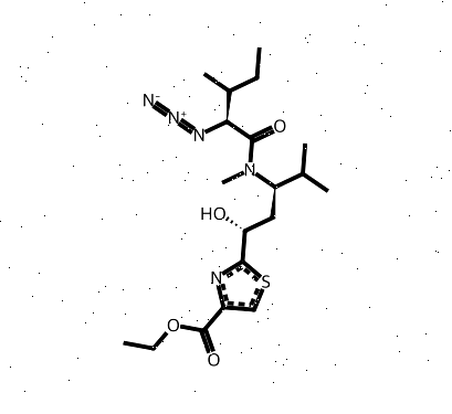 CCOC(=O)c1csc([C@H](O)C[C@H](C(C)C)N(C)C(=O)[C@@H](N=[N+]=[N-])C(C)CC)n1